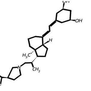 CC(CN1CC[C@@H](C(F)F)C1)[C@H]1CC[C@H]2/C(=C/C=C3/C[C@@H](O)C[C@@H](O)C3)CCC[C@]12C